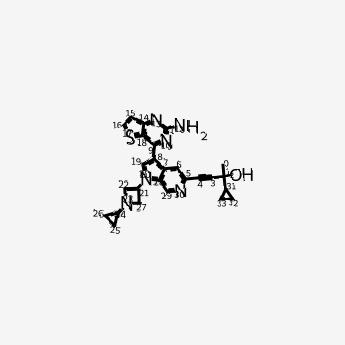 CC(O)(C#Cc1cc2c(-c3nc(N)nc4ccsc34)cn(C3CN(C4CC4)C3)c2cn1)C1CC1